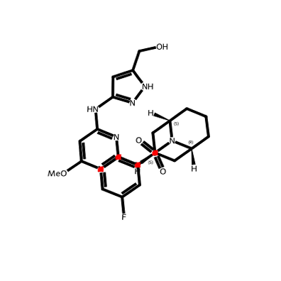 COc1cc(Nc2cc(CO)[nH]n2)nc(N[C@@H]2C[C@H]3CCC[C@@H](C2)N3S(=O)(=O)c2cncc(F)c2)n1